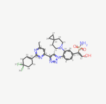 Cc1cc(-c2cn(-c3ccc(C(=CO)S(N)(=O)=O)cc3N3CCC4(CC3)CC4)nn2)nc(C2=CCC(F)(F)CC2)n1